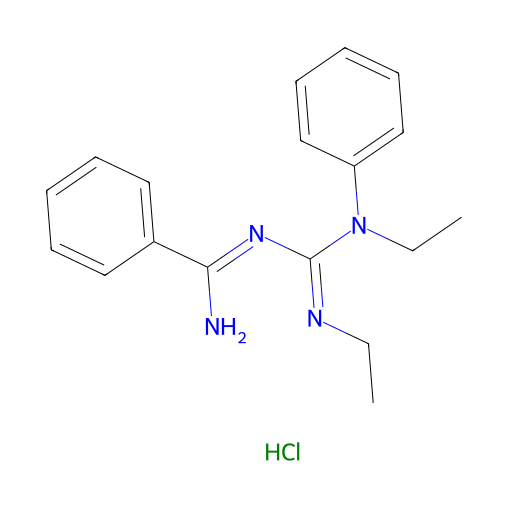 CCN=C(N=C(N)c1ccccc1)N(CC)c1ccccc1.Cl